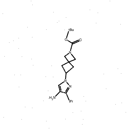 CC(C)c1nn(C2CC3(C2)CN(C(=O)OC(C)(C)C)C3)cc1N